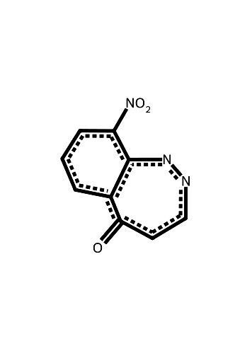 O=c1ccnnc2c([N+](=O)[O-])cccc12